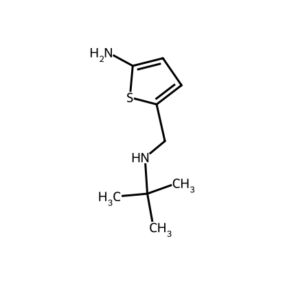 CC(C)(C)NCc1ccc(N)s1